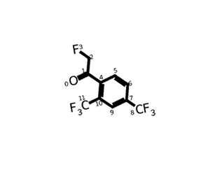 O=C(CF)c1ccc(C(F)(F)F)cc1C(F)(F)F